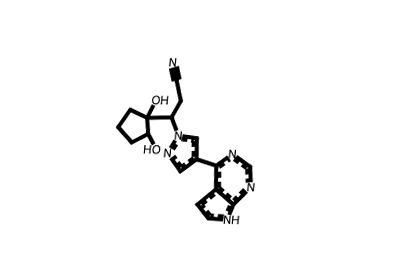 N#CCC(n1cc(-c2ncnc3[nH]ccc23)cn1)C1(O)CCCC1O